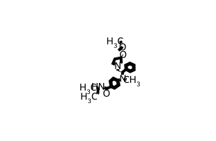 CCC(C)NC(=O)c1ccc(N(C)[C@H](CN2CC[C@H](OCOC)C2)c2ccccc2)cc1